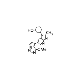 COc1ncnn2ccc(-c3cnc4nc(C)n(C5CCCC(O)C5)c4c3)c12